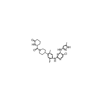 Cc1cc(Nc2nc(Nc3cc(C)c(C4CCN(C(=O)C5CCCC(=O)N5)CC4)cc3F)ncc2Cl)n[nH]1